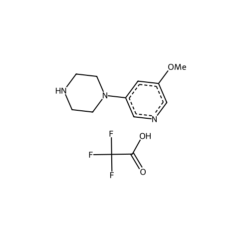 COc1cncc(N2CCNCC2)c1.O=C(O)C(F)(F)F